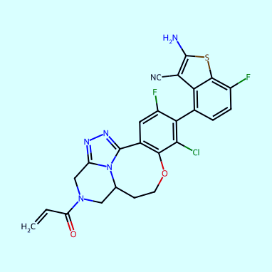 C=CC(=O)N1Cc2nnc3n2C(CCOc2c-3cc(F)c(-c3ccc(F)c4sc(N)c(C#N)c34)c2Cl)C1